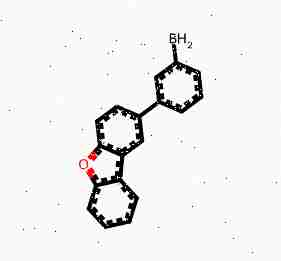 Bc1cccc(-c2ccc3oc4ccccc4c3c2)c1